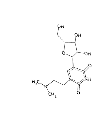 CN(C)CCn1cc([C@@H]2O[C@H](CO)C(O)C2O)c(=O)[nH]c1=O